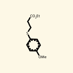 CCOC(=O)CCSc1ccc(OC)cc1